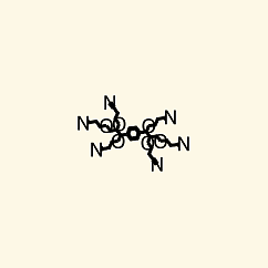 N#CCCOCC(OCCC#N)C(OCCC#N)c1ccc(C(OCCC#N)C(COCCC#N)OCCC#N)cc1